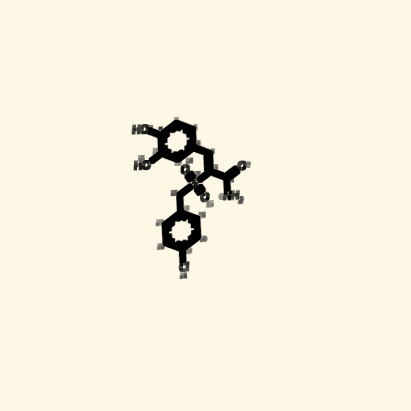 NC(=O)C(=Cc1ccc(O)c(O)c1)S(=O)(=O)Cc1ccc(Cl)cc1